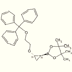 CC1(C)OB([C@H]2C[C@@H]2OCCOC(c2ccccc2)(c2ccccc2)c2ccccc2)OC1(C)C